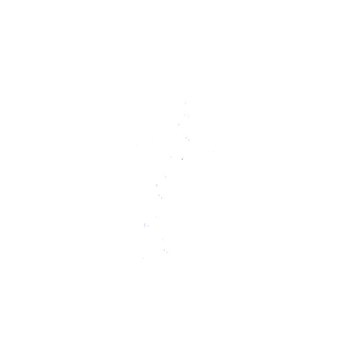 CN(C)C(=O)C(NC(=O)CNC(=O)C(=O)C(CC1CCC1)NC(=O)[C@@H]1C2C(CN1C(=O)[C@@H](NC(=O)OC(C)(C)C)C(C)(C)C)C2(C)C)c1ccccc1